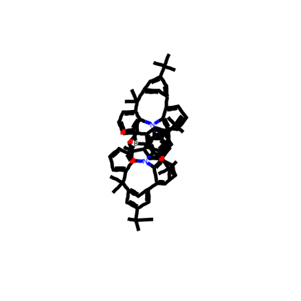 CC(C)(C)c1cc(-c2cccc3c2N2c4cccc5c4B(c4cccc(c42)C(C)(C)c2cc-3cc(C(C)(C)C)c2)c2cccc3c2N5c2c(-c4cc(C(C)(C)C)cc(C(C)(C)C)c4)cccc2-c2cc(C(C)(C)C)cc(c2)C3(C)C)cc(C(C)(C)C)c1